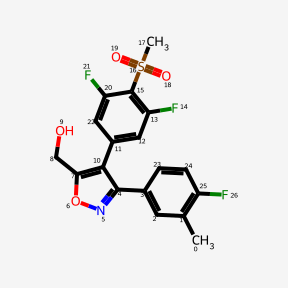 Cc1cc(-c2noc(CO)c2-c2cc(F)c(S(C)(=O)=O)c(F)c2)ccc1F